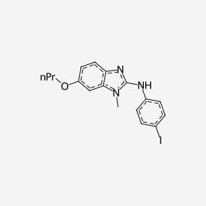 CCCOc1ccc2nc(Nc3ccc(I)cc3)n(C)c2c1